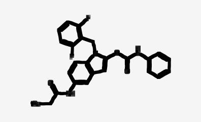 CC(C)(C)CC(=O)Nc1ccc2c(c1)cc(OC(=O)Nc1ccccc1)n2Cc1c(F)cccc1F